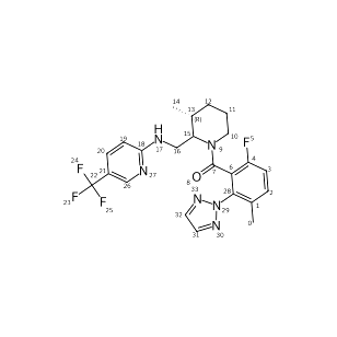 Cc1ccc(F)c(C(=O)N2CCC[C@@H](C)C2CNc2ccc(C(F)(F)F)cn2)c1-n1nccn1